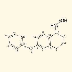 ONC1CCCc2cc(Oc3ccccc3)ccc21